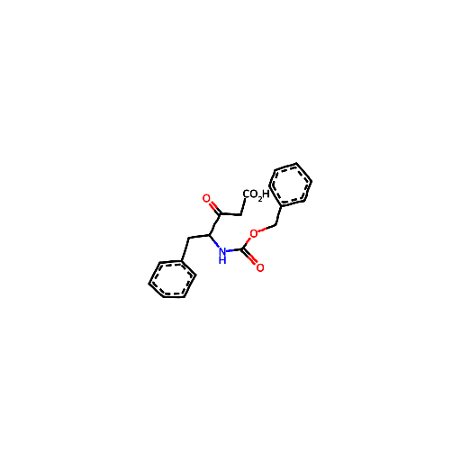 O=C(O)CC(=O)C(Cc1ccccc1)NC(=O)OCc1ccccc1